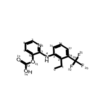 CCc1c(Nc2ncccc2OC(=O)O)cccc1C(F)(F)F